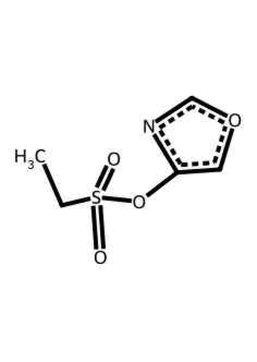 CCS(=O)(=O)Oc1cocn1